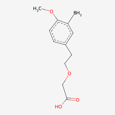 Bc1cc(CCOCC(=O)O)ccc1OC